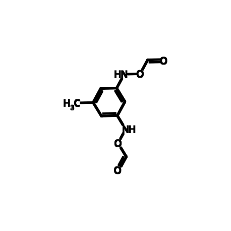 Cc1cc(NOC=O)cc(NOC=O)c1